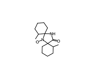 CC1CCCCC12NC(=O)C1(CCCCC1C)N2[O]